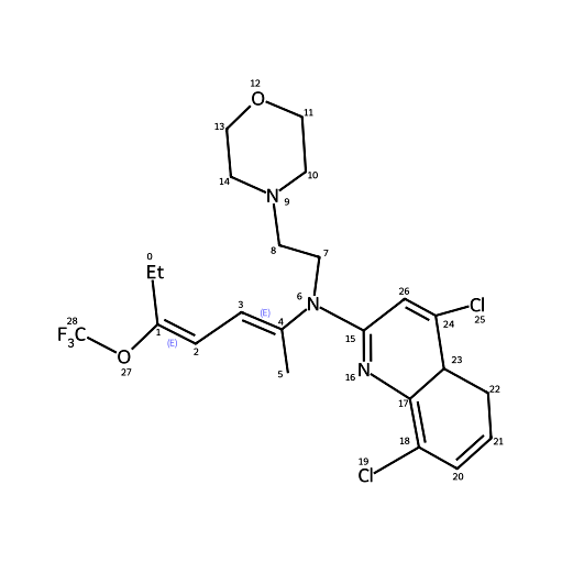 CC/C(=C\C=C(/C)N(CCN1CCOCC1)C1=NC2=C(Cl)C=CCC2C(Cl)=C1)OC(F)(F)F